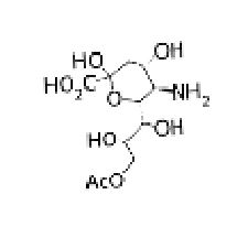 CC(=O)OCC(O)C(O)[C@@H]1OC(O)(C(=O)O)C[C@H](O)[C@H]1N